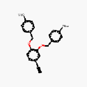 C#Cc1ccc(OCc2ccc(OC)cc2)c(OCc2ccc(OC)cc2)c1